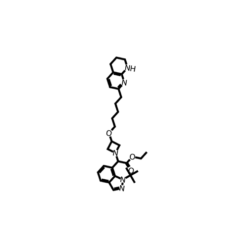 CCOC(=O)C(c1cccc2cnn(C(C)(C)C)c12)N1CC(OCCCCCc2ccc3c(n2)NCCC3)C1